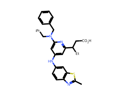 CCC(CC(=O)O)c1cc(Nc2ccc3nc(C)sc3c2)cc(N(Cc2ccccc2)CC(C)C)n1